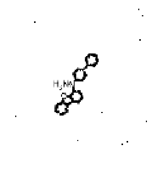 NN(c1ccc(-c2ccccc2)cc1)c1cccc2c1oc1ccccc12